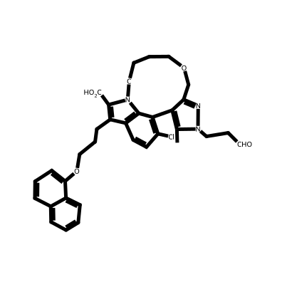 Cc1c2c(nn1CCC=O)COCCCCn1c(C(=O)O)c(CCCOc3cccc4ccccc34)c3ccc(Cl)c-2c31